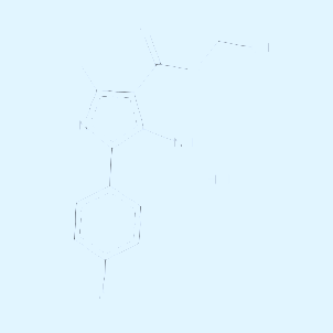 CCOC(=O)c1c(C)[nH]c(-c2ccc(C)cc2)c1N.Cl